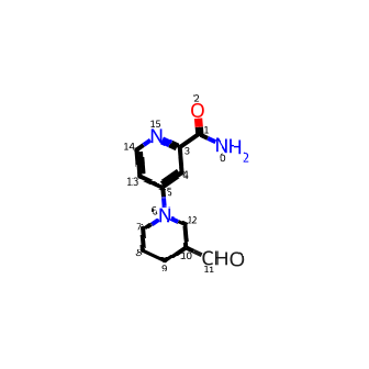 NC(=O)c1cc(N2CCCC(C=O)C2)ccn1